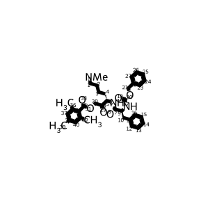 CNCCCC[C@H](NC(=O)[C@H](Cc1ccccc1)NC(=O)OCc1ccccc1)C(=O)COC(=O)c1c(C)cc(C)cc1C